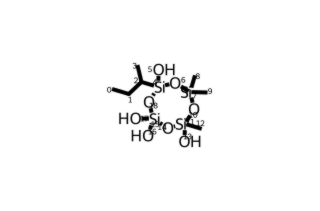 CCC(C)[Si]1(O)O[Si](C)(C)O[Si](C)(O)O[Si](O)(O)O1